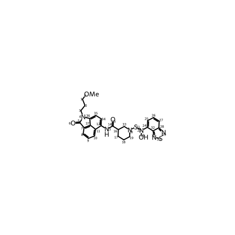 COCCCN1C(=O)c2cccc3c(NC(=O)C4CCCN(SN(O)c5cccc6nsnc56)C4)ccc1c23